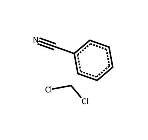 ClCCl.N#Cc1ccccc1